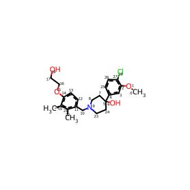 COc1cc(C2(O)CCN(Cc3ccc(OCCO)c(C)c3C)CC2)ccc1Cl